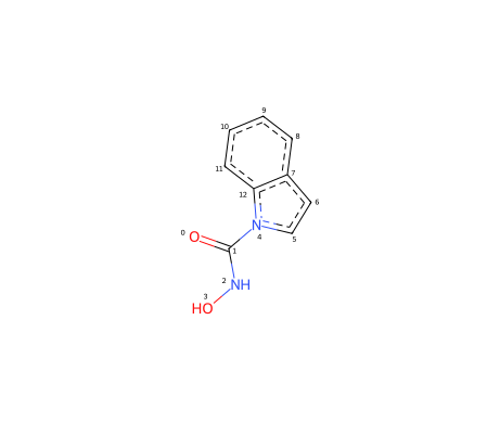 O=C(NO)n1ccc2ccccc21